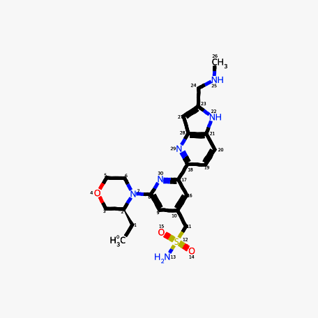 CC[C@H]1COCCN1c1cc(CS(N)(=O)=O)cc(-c2ccc3[nH]c(CNC)cc3n2)n1